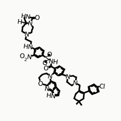 CC1(C)CCC(CN2CCN(c3ccc(C(=O)NS(=O)(=O)c4ccc(NCCN5CC[C@@H]6CNC(=O)N6CC5)c([N+](=O)[O-])c4)c(N4CCCOc5nc6[nH]ccc6cc54)c3)CC2)=C(c2ccc(Cl)cc2)C1